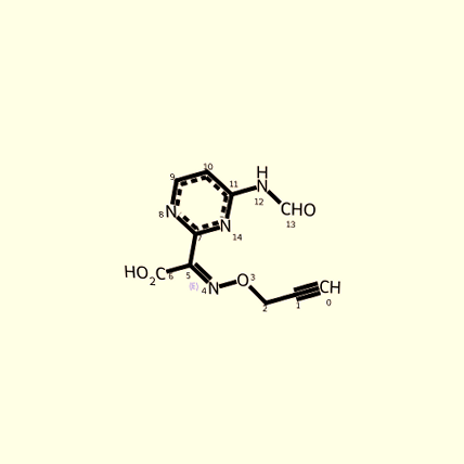 C#CCO/N=C(/C(=O)O)c1nccc(NC=O)n1